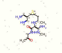 CN/C(N)=C(/N[C@@H](C)CC1S[C@@H]1/C(C=N)=C/N)C(=O)NCC(C)=O